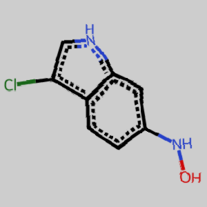 ONc1ccc2c(Cl)c[nH]c2c1